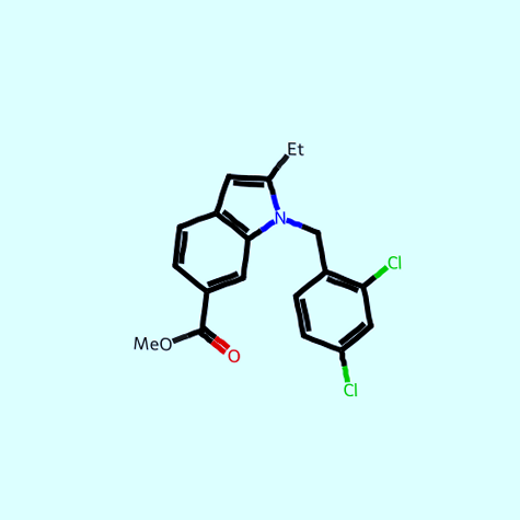 CCc1cc2ccc(C(=O)OC)cc2n1Cc1ccc(Cl)cc1Cl